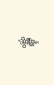 C[C@H](Nc1ncnc2[nH]ccc(=O)c12)c1c(Cl)c2cccc(C3CC3)c2c(=O)n1-c1ccccc1